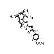 COc1ccc(NC(=S)NCCn2c(C)nc3c(N)nc(C)c(C)c32)cc1